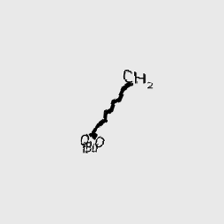 C=CCCCCCCCC(=O)OC(C)CC